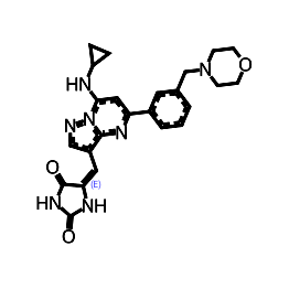 O=C1NC(=O)/C(=C\c2cnn3c(NC4CC4)cc(-c4cccc(CN5CCOCC5)c4)nc23)N1